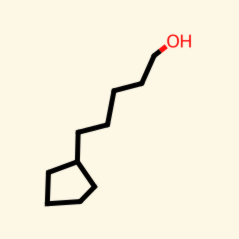 OCCCCCC1CCCC1